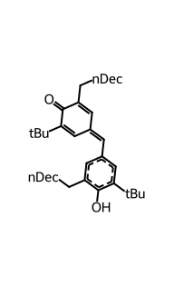 CCCCCCCCCCCC1=CC(=Cc2cc(CCCCCCCCCCC)c(O)c(C(C)(C)C)c2)C=C(C(C)(C)C)C1=O